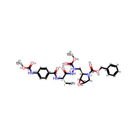 CC(C)C[C@H](NC(=O)c1ccc(NC(=O)OC(C)(C)C)cc1)C(=O)NN(C[C@@H]1C2OC2CN1C(=O)OCc1ccccc1)C(=O)OC(C)(C)C